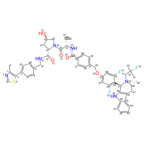 Cc1ncsc1-c1ccc(CNC(=O)[C@@H]2C[C@@H](O)CN2C(=O)[C@@H](NC(=O)c2ccc(COc3cc(F)c([C@@H]4c5[nH]c6ccccc6c5C[C@@H](C)N4CC(C)(C)F)c(F)c3)cc2)C(C)(C)C)cc1